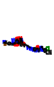 Cc1ncsc1-c1ccc([C@H](C)NC(=O)C2C[C@@H](O)CN2C(=O)[C@@H](c2oncc2OCCCCCNc2ccc(C(=O)N[C@@H](C)Cn3ccc(-c4ccc(C#N)c(Cl)c4)n3)cc2)C(C)C)cc1